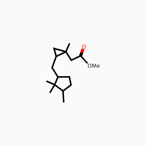 COC(=O)CC1(C)CC1CC1CCC(C)C1(C)C